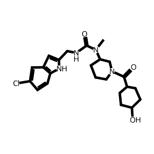 CN(C(=O)NCc1cc2cc(Cl)ccc2[nH]1)C1CCCN(C(=O)C2CCC(O)CC2)C1